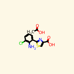 CC(=O)O.Nc1c(Cl)cccc1-c1nc(C(=O)O)cs1